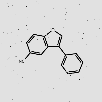 N#Cc1ccc2occ(-c3ccccc3)c2c1